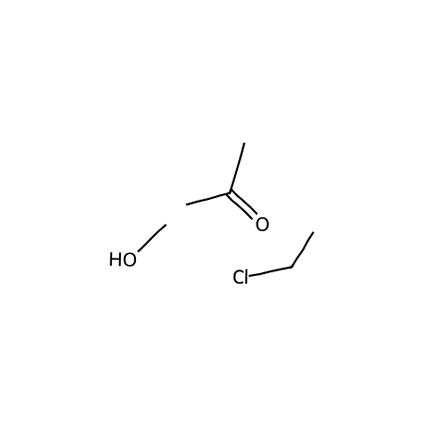 CC(C)=O.CCCl.CO